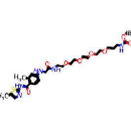 Cc1cnc(NC(=O)c2ccc(NCC(=O)NCCOCCOCCOCCOCCCNC(=O)OC(C)(C)C)cc2C)s1